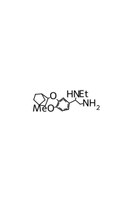 CCNC(CN)c1ccc(OC)c(OC2CC3CCC2C3)c1